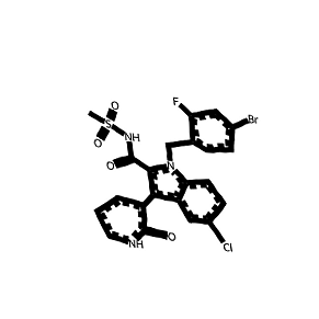 CS(=O)(=O)NC(=O)c1c(-c2ccc[nH]c2=O)c2cc(Cl)ccc2n1Cc1ccc(Br)cc1F